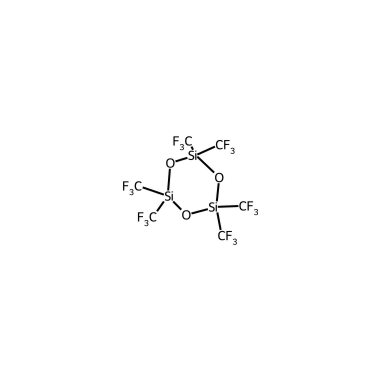 FC(F)(F)[Si]1(C(F)(F)F)O[Si](C(F)(F)F)(C(F)(F)F)O[Si](C(F)(F)F)(C(F)(F)F)O1